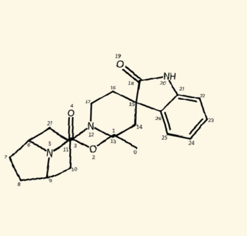 CCOC(=O)N1C2CCC1CC(N1CCC3(CC1)C(=O)Nc1ccccc13)C2